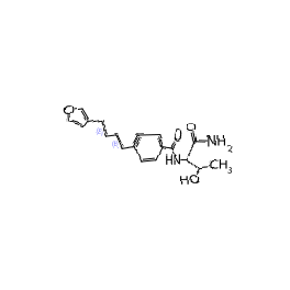 CC(O)C(NC(=O)c1ccc(/C=C/C=C/c2ccoc2)cc1)C(N)=O